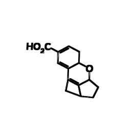 O=C(O)C1=CCC2OC3CCC4CC(=C43)C2=C1